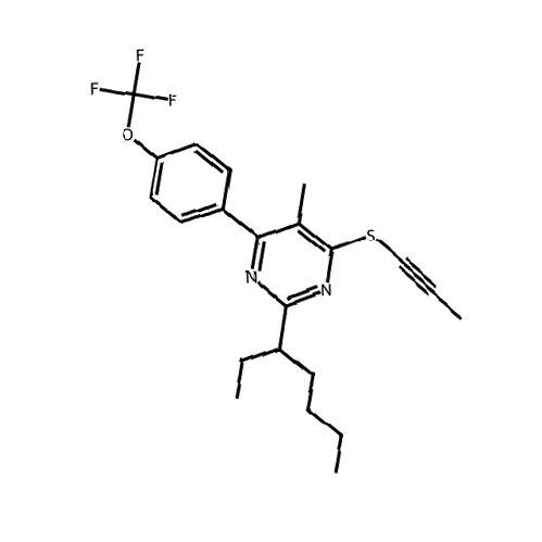 CC#CSc1nc(C(CC)CCCC)nc(-c2ccc(OC(F)(F)F)cc2)c1C